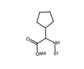 CCNC(C(=O)OC)C1CCCC1